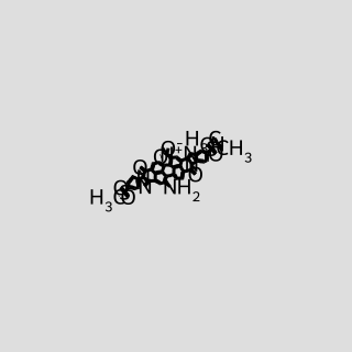 CN(C)S(=O)(=O)c1ccc2c(c1)nc1c3cc([N+](=O)[O-])c4c5ccc6c(=O)n7c8ccc(S(C)(=O)=O)cc8nc7c7cc(N)c(c8ccc(c(=O)n21)c3c84)c5c67